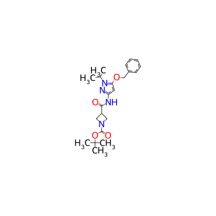 CC(C)n1nc(NC(=O)C2CN(C(=O)OC(C)(C)C)C2)cc1OCc1ccccc1